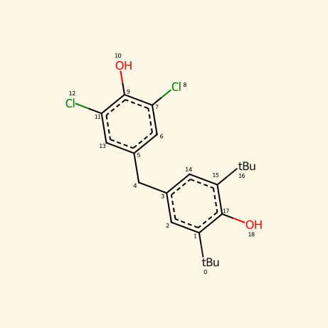 CC(C)(C)c1cc(Cc2cc(Cl)c(O)c(Cl)c2)cc(C(C)(C)C)c1O